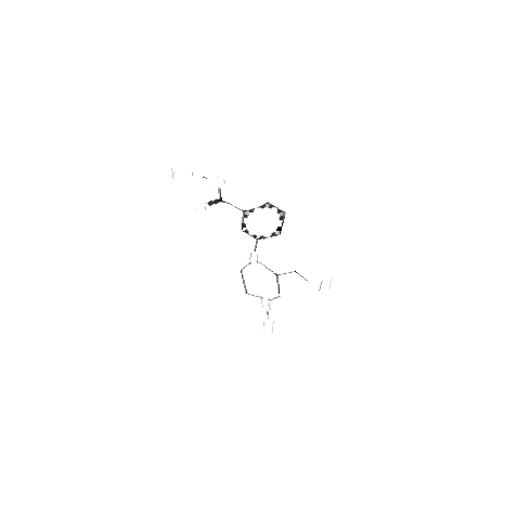 CCC1CN(C)CCN1c1cccc(C(=O)OC)c1